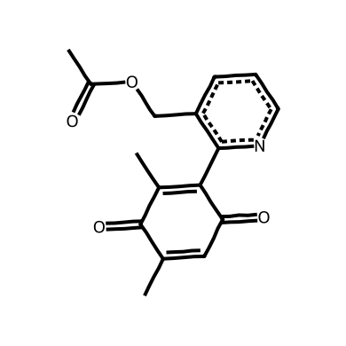 CC(=O)OCc1cccnc1C1=C(C)C(=O)C(C)=CC1=O